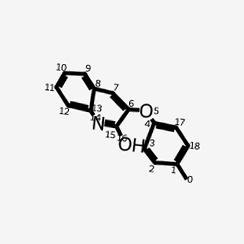 Cc1ccc(Oc2cc3ccccc3nc2O)cc1